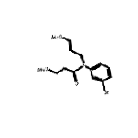 COCCCN(C(=O)CCOC)c1cccc(Br)c1